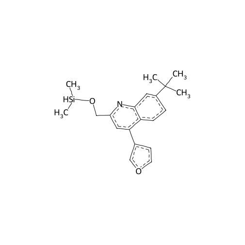 C[SiH](C)OCc1cc(-c2ccoc2)c2ccc(C(C)(C)C)cc2n1